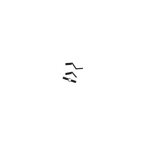 C=C=C.C=CC.C=CCC